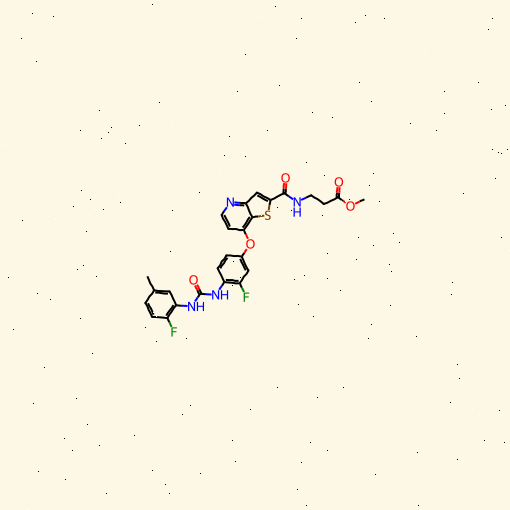 COC(=O)CCNC(=O)c1cc2nccc(Oc3ccc(NC(=O)Nc4cc(C)ccc4F)c(F)c3)c2s1